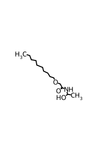 CCCCCCCCCCOCC(=O)NC(C)O